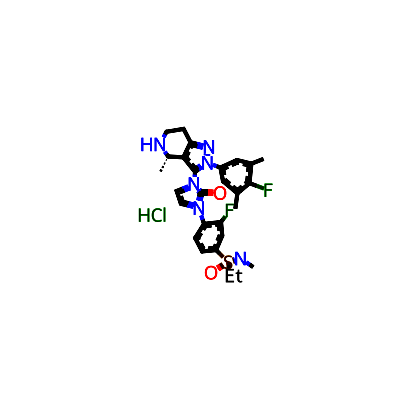 CCS(=O)(=NC)c1ccc(-n2ccn(-c3c4c(nn3-c3cc(C)c(F)c(C)c3)CCN[C@H]4C)c2=O)c(F)c1.Cl